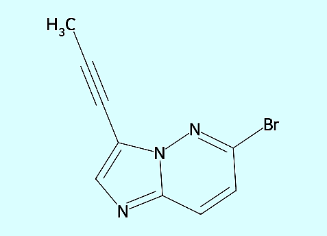 CC#Cc1cnc2ccc(Br)nn12